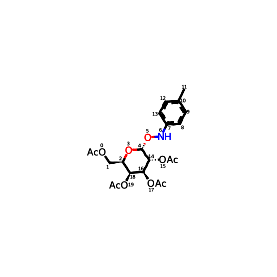 CC(=O)OC[C@H]1O[C@H](ONc2ccc(C)cc2)[C@H](OC(C)=O)[C@@H](OC(C)=O)[C@H]1OC(C)=O